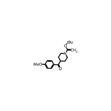 C=C(OC(C)(C)C)N1CCC(C(=O)c2ccc(OC)cc2)CC1